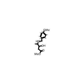 COC(=O)CC(O)C(C)NCc1ccc(OC)cc1